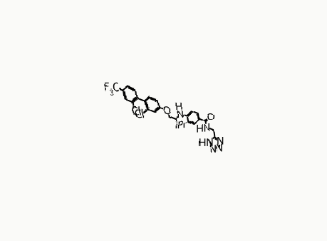 CC(C)C(COc1ccc(-c2ccc(C(F)(F)F)cc2Cl)c(Cl)c1)Nc1ccc(C(=O)NCc2nnn[nH]2)cc1